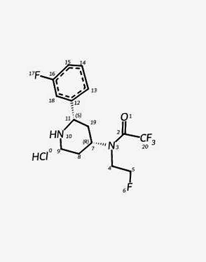 Cl.O=C(N(CCF)[C@@H]1CCN[C@H](c2cccc(F)c2)C1)C(F)(F)F